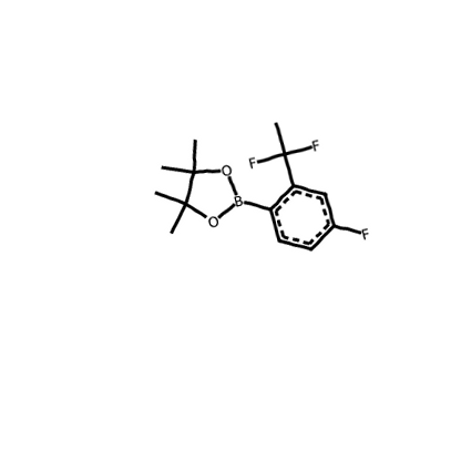 CC(F)(F)c1cc(F)ccc1B1OC(C)(C)C(C)(C)O1